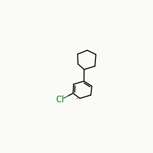 ClC1=CC(C2CCCCC2)=CC[CH]1